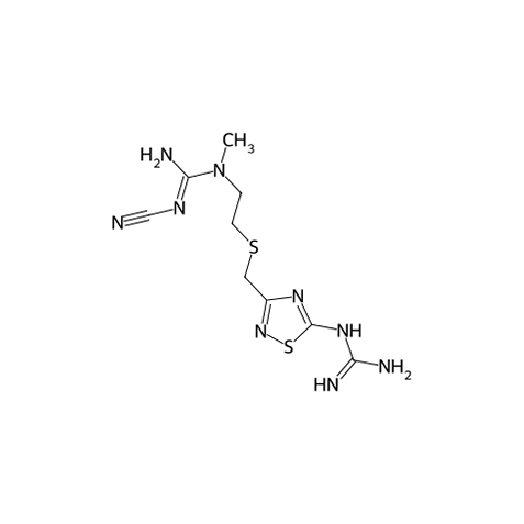 CN(CCSCc1nsc(NC(=N)N)n1)C(N)=NC#N